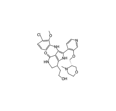 COc1c(Cl)cccc1Nc1c(-c2ccncc2OC[C@@H]2COCCN2C)[nH]c2c1C(=O)NCC2CCO